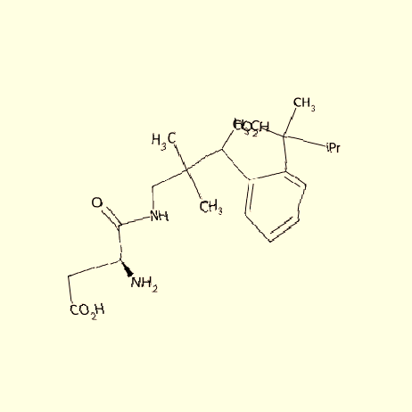 CC(C)C(C)(C)c1ccccc1C(C(=O)O)C(C)(C)CNC(=O)[C@@H](N)CC(=O)O